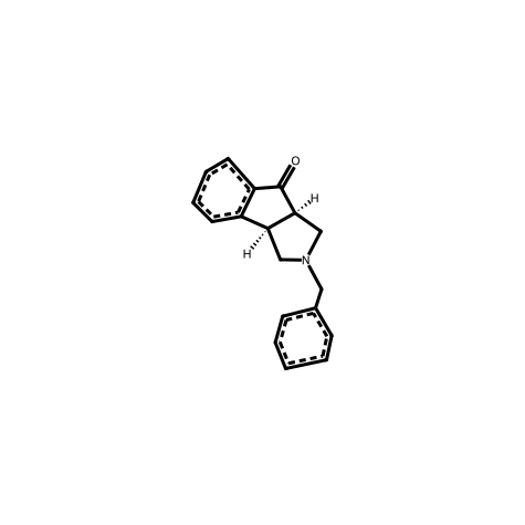 O=C1c2ccccc2[C@@H]2CN(Cc3ccccc3)C[C@H]12